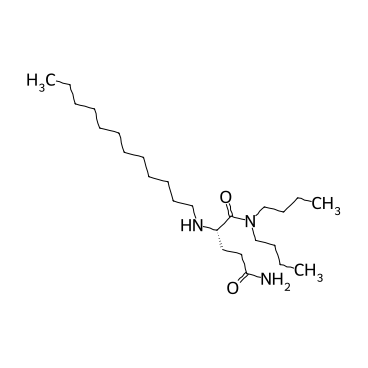 CCCCCCCCCCCCN[C@@H](CCC(N)=O)C(=O)N(CCCC)CCCC